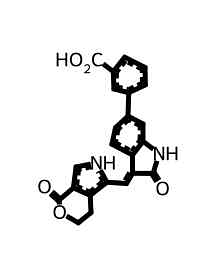 O=C1Nc2cc(-c3cccc(C(=O)O)c3)ccc2C1=Cc1[nH]cc2c1CCOC2=O